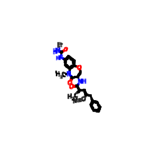 C=C(/C=C(/Cc1ccccc1)OC)C(=O)N[C@H]1COc2ccc(NC(=O)NCC)cc2N(C)C1=O